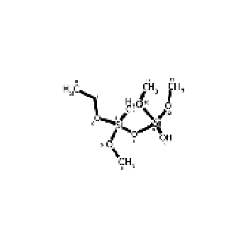 CCO[Si](C)(OC)O[Si](O)(OC)OC